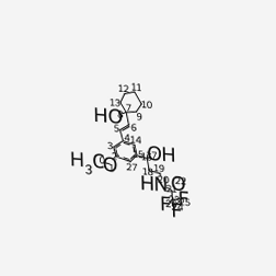 COc1cc(C=CC2(O)CCCCC2)cc(C(O)CCNC(=O)C(F)(F)F)c1